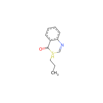 CCC[SH]1C=Nc2ccccc2C1=O